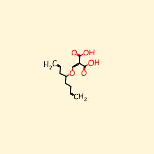 C=CCCC(CC=C)OC=C(C(=O)O)C(=O)O